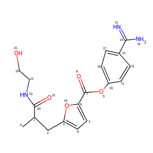 CC(Cc1ccc(C(=O)Oc2ccc(C(=N)N)cc2)o1)C(=O)NCCO